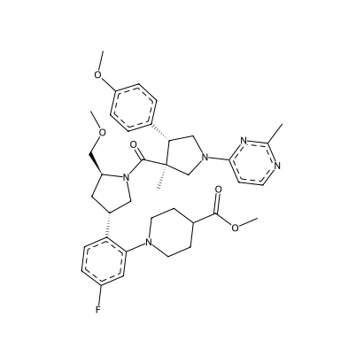 COC[C@@H]1C[C@@H](c2ccc(F)cc2N2CCC(C(=O)OC)CC2)CN1C(=O)[C@]1(C)CN(c2ccnc(C)n2)C[C@H]1c1ccc(OC)cc1